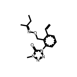 C=Cc1cccc(-n2nnn(C)c2=O)c1CON=C(C)CC